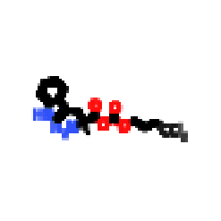 C[C@](N)(Cc1c[nH]c2ccccc12)C(=O)OC(=O)OCCCC(Cl)(Cl)Cl